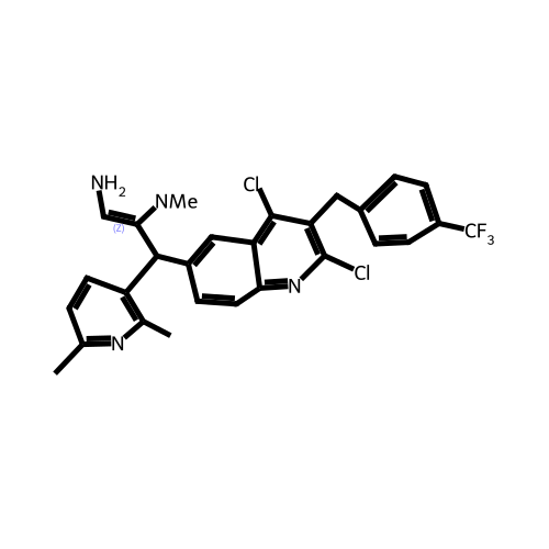 CN/C(=C\N)C(c1ccc2nc(Cl)c(Cc3ccc(C(F)(F)F)cc3)c(Cl)c2c1)c1ccc(C)nc1C